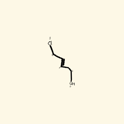 OCC=CCCl